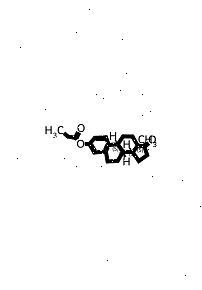 CCC(=O)Oc1ccc2c(c1)CC[C@@H]1[C@@H]2CC[C@]2(C)C(=O)CC[C@@H]12